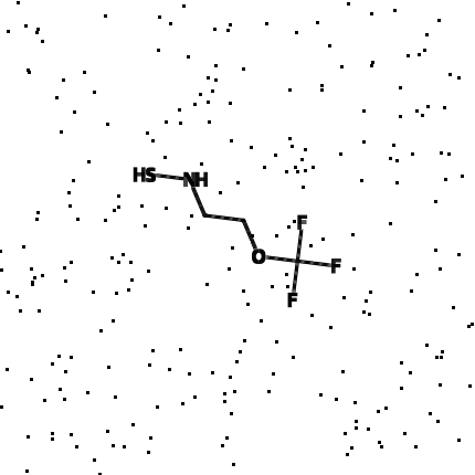 FC(F)(F)OCCNS